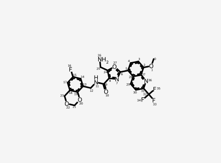 COc1ccc(-c2nc(C(=O)NCc3cc(F)cc4c3OCOC4)c(CN)o2)c2ccc(C(F)(F)F)nc12